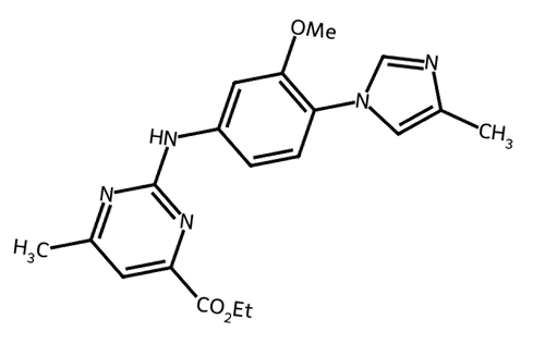 CCOC(=O)c1cc(C)nc(Nc2ccc(-n3cnc(C)c3)c(OC)c2)n1